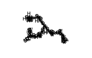 COc1ccc(-c2cc(NC(=O)COCC(=O)N(C)CC(=O)NCCOCCN(CCOCCNC(=O)CN(C)C(=O)CCCCC3SC[C@@H]4NC(=O)N[C@H]34)CCOCCNC(=O)CN(C)C(=O)CCCOc3ccc(CN4CCN(c5ccccc5OC)CC4)cc3OC)nc(-c3ccc(OC)cc3)n2)cc1